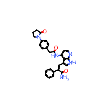 NC(=O)C(=Cc1c[nH]c2nccc(NC(=O)Cc3ccc(N4CCCC4=O)cc3)c12)c1ccccc1